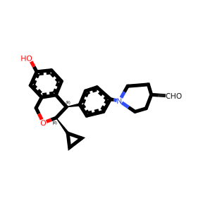 O=CC1CCN(c2ccc([C@@H]3c4ccc(O)cc4CO[C@@H]3C3CC3)cc2)CC1